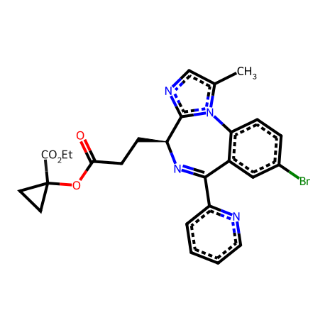 CCOC(=O)C1(OC(=O)CC[C@@H]2N=C(c3ccccn3)c3cc(Br)ccc3-n3c(C)cnc32)CC1